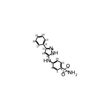 NS(=O)(=O)c1ccc(Nc2cc(-c3ccccc3)n[nH]2)cc1